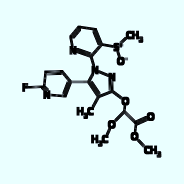 COC(=O)C(OC)Oc1nn(-c2ncccc2[S+](C)[O-])c(-c2ccc(F)nc2)c1C